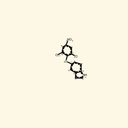 O=[N+]([O-])c1cc(Cl)c(Oc2ccc3[nH]ccc3c2)c(Cl)c1